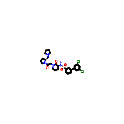 O=C1[C@@H](NS(=O)(=O)c2cccc(-c3cc(Cl)cc(Cl)c3)c2)CCCN1CC(=O)N1CCC[C@H]1CN1CCCC1